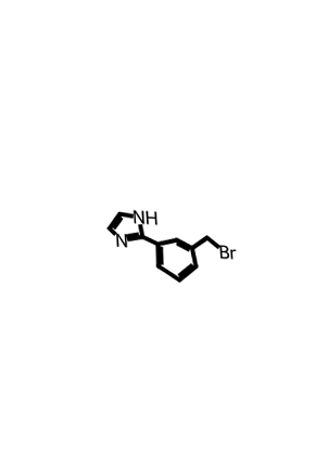 BrCc1cccc(-c2ncc[nH]2)c1